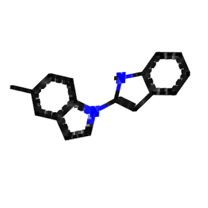 Cc1ccc2c(ccn2C2=Cc3ccccc3[N]2)c1